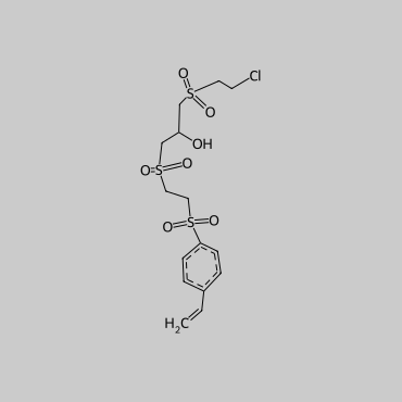 C=Cc1ccc(S(=O)(=O)CCS(=O)(=O)CC(O)CS(=O)(=O)CCCl)cc1